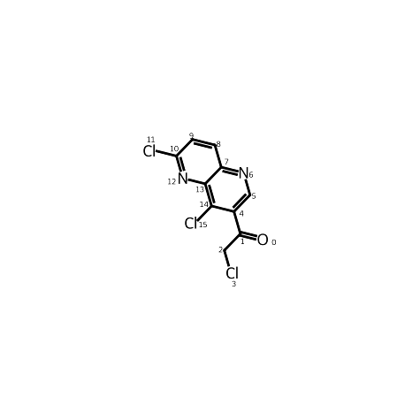 O=C(CCl)c1cnc2ccc(Cl)nc2c1Cl